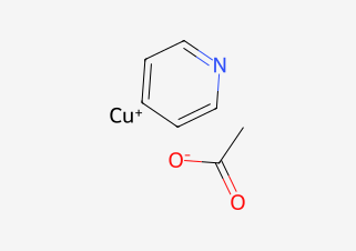 CC(=O)[O-].[Cu+].c1ccncc1